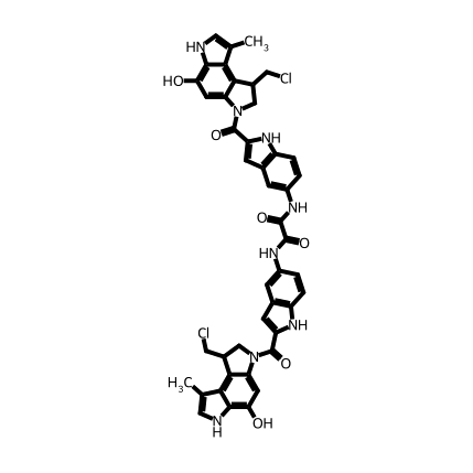 Cc1c[nH]c2c(O)cc3c(c12)C(CCl)CN3C(=O)c1cc2cc(NC(=O)C(=O)Nc3ccc4[nH]c(C(=O)N5CC(CCl)c6c5cc(O)c5[nH]cc(C)c65)cc4c3)ccc2[nH]1